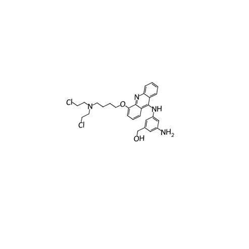 Nc1cc(CO)cc(Nc2c3ccccc3nc3c(OCCCCN(CCCl)CCCl)cccc23)c1